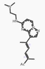 CC(=O)/C(C)=C/C=C(\C)c1cnn2ccc(NCCN(C)C)nc12